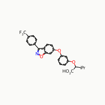 CC(C)C(Oc1cccc(Oc2ccc3c(-c4ccc(C(F)(F)F)cc4)noc3c2)c1)C(=O)O